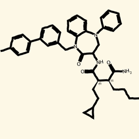 CCCC[C@H](C(N)=O)[C@@H](CCC1CC1)C(=O)NC1CN(c2ccccc2)c2ccccc2N(Cc2cccc(-c3ccc(C)cc3)c2)C1=O